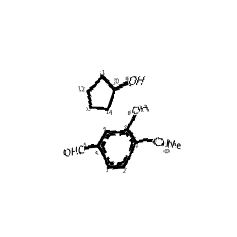 COc1ccc(C=O)cc1O.OC1CCCC1